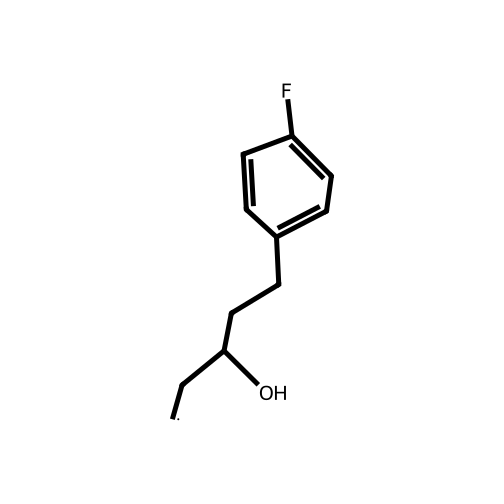 [CH2]CC(O)CCc1ccc(F)cc1